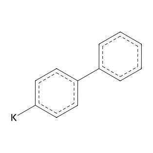 [K][c]1ccc(-c2ccccc2)cc1